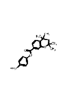 CC1(C)CC(C)(C)c2ccc(C(=O)Oc3ccc(C(=O)O)cc3)cc2O1